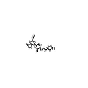 Cc1cc(-c2nc(C#N)nc3c2ccn3C)ccc1OCCC1CCNC1